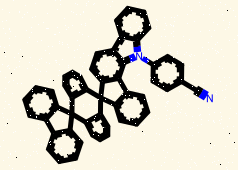 N#Cc1ccc(-n2c3ccccc3c3ccc4c(c32)-c2ccccc2C42c3ccccc3C3(c4ccccc4-c4ccccc43)c3ccccc32)cc1